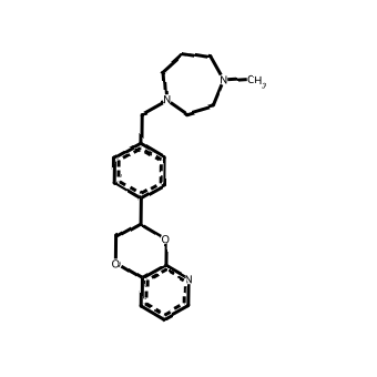 CN1CCCN(Cc2ccc(C3COc4cccnc4O3)cc2)CC1